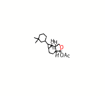 CC(=O)O[C@@H]1OC[C@H]2[C@@H]3C(CC[C@@H]12)C3C1CCCC(C)(C)C1